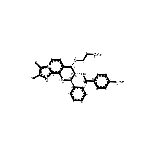 COCCO[C@H]1c2ccn3c(C)c(C)nc3c2N[C@H](c2ccccc2)[C@H]1OC(=O)c1ccc(OC)cc1